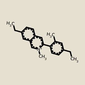 CCc1ccc(-c2cc3ccc(CC)cc3c[n+]2C)c(C)c1